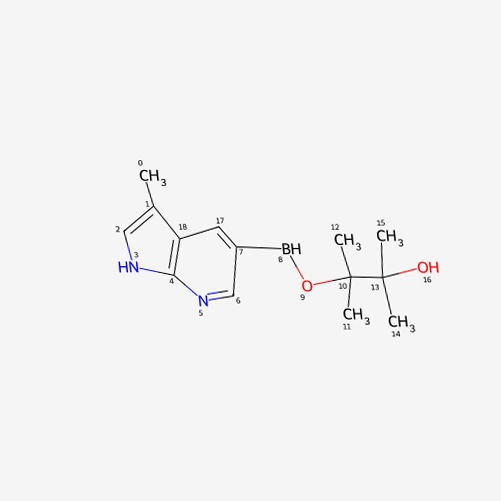 Cc1c[nH]c2ncc(BOC(C)(C)C(C)(C)O)cc12